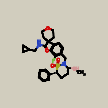 CB[C@H]1CC[C@H](c2ccccc2)S(=O)(=O)N1Cc1ccc(C2(C(=O)NCC3CC3)CCOCC2)cc1F